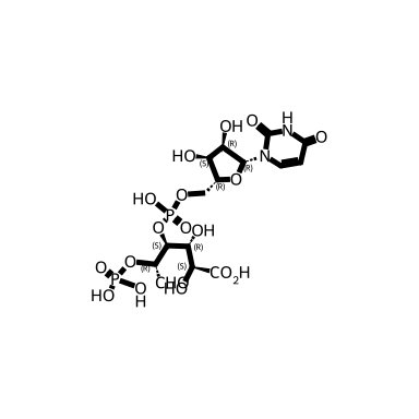 O=C[C@H](OP(=O)(O)O)[C@@H](OP(=O)(O)OC[C@H]1O[C@@H](n2ccc(=O)[nH]c2=O)[C@H](O)[C@@H]1O)[C@H](O)[C@H](O)C(=O)O